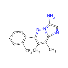 Cc1c(-c2ccccc2C(F)(F)F)nn2c(N)cnc2c1C